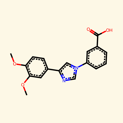 COc1ccc(-c2cn(-c3cccc(C(=O)O)c3)cn2)cc1OC